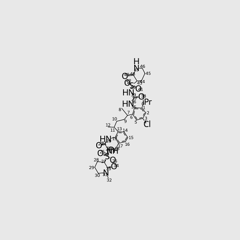 CC(C)c1cc(Cl)cc(C(C)CCC(C)c2cccc(C(C)C)c2NC(=O)NS(=O)(=O)C2CCCN(C)C2=O)c1NC(=O)NS(=O)(=O)C1CCCNC1=O